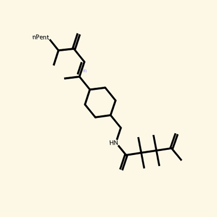 C=C(/C=C(\C)C1CCC(CNC(=C)C(C)(C)C(C)(C)C(=C)C)CC1)C(C)CCCCC